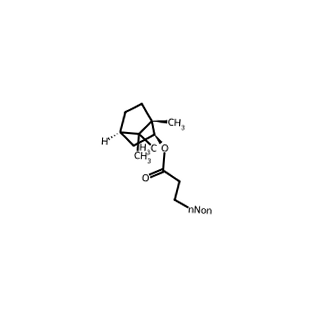 CCCCCCCCCCCC(=O)O[C@H]1C[C@H]2CC[C@@]1(C)C2(C)C